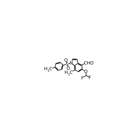 Cc1ccc(S(=O)(=O)n2ccc3c(C=O)c(OC(F)F)cc(C)c32)cc1